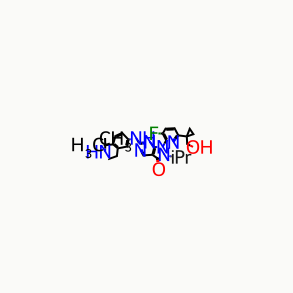 CC(C)n1c(=O)c2cnc(Nc3ccc4c(c3)CCNC4(C)C)nc2n1-c1nc(C2(CO)CC2)ccc1F